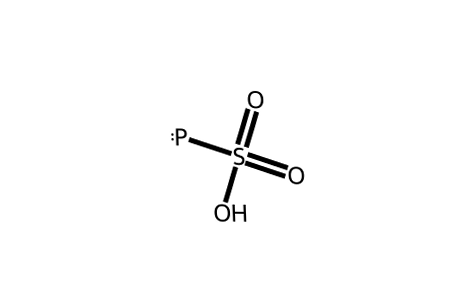 O=S(=O)(O)[P]